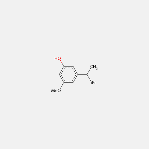 COc1cc(O)cc(C(C)C(C)C)c1